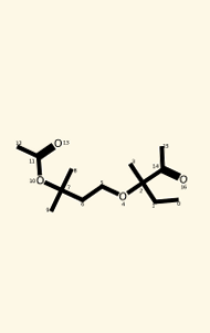 CCC(C)(OCCC(C)(C)OC(C)=O)C(C)=O